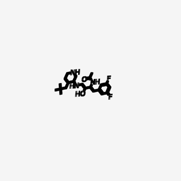 CC(=O)NC(Cc1cc(F)cc(F)c1)C(O)CNC1CNCCC1CC(C)(C)C